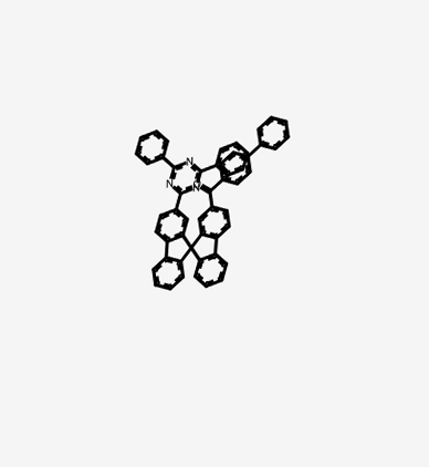 O=C(c1ccc(-c2ccccc2)cc1)c1ccc2c(c1)C1(c3ccccc3-2)c2ccccc2-c2ccc(-c3nc(-c4ccccc4)nc(-c4ccccc4)n3)cc21